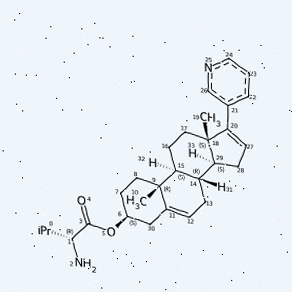 CC(C)[C@@H](N)C(=O)O[C@H]1CC[C@@]2(C)C(=CC[C@@H]3[C@@H]2CC[C@]2(C)C(c4cccnc4)=CC[C@@H]32)C1